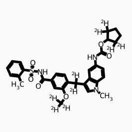 [2H]C([2H])([2H])Oc1cc(C(=O)NS(=O)(=O)c2ccccc2C)ccc1C([2H])([2H])c1cn(C)c2ccc(NC(=O)OC3C([2H])([2H])CCC3([2H])[2H])cc12